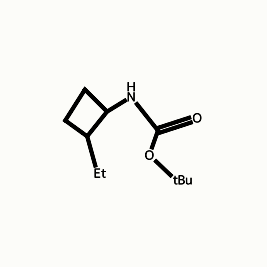 CCC1CCC1NC(=O)OC(C)(C)C